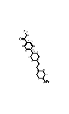 CCCC1CCC(CCC2CCC(c3ccc(C(=O)CF)cc3)CC2)CC1